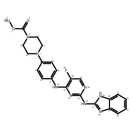 CC(C)(C)OC(=O)N1CCN(c2ccc(Nc3nc(Nc4nc5ccccc5[nH]4)ncc3F)cc2)CC1